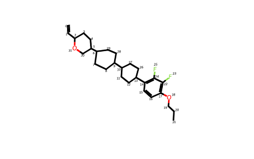 C=CC1CCC(C2CCC(C3CCC(c4ccc(OCCC)c(F)c4F)CC3)CC2)CO1